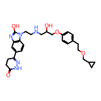 O=C1CCC(c2ccc3c(c2)nc(O)n3CCNCC(O)COc2ccc(CCOCC3CC3)cc2)=NN1